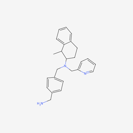 CC1c2ccccc2CCC1N(Cc1ccc(CN)cc1)Cc1ccccn1